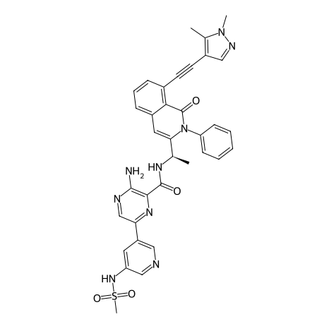 Cc1c(C#Cc2cccc3cc([C@@H](C)NC(=O)c4nc(-c5cncc(NS(C)(=O)=O)c5)cnc4N)n(-c4ccccc4)c(=O)c23)cnn1C